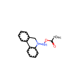 CCCCCCCCCCC(=O)ONN1Cc2ccccc2-c2ccccc21